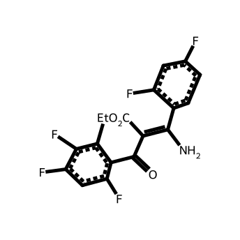 CCOC(=O)C(C(=O)c1c(F)cc(F)c(F)c1C)=C(N)c1ccc(F)cc1F